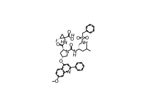 COc1ccc2c(O[C@@H]3C[C@@H](C(=O)N[C@]4(C(=O)O)C[C@H]4I)N(C(=O)N[C@H](CNS(=O)(=O)Cc4ccccc4)CC(C)C)C3)cc(-c3ccccc3)nc2c1